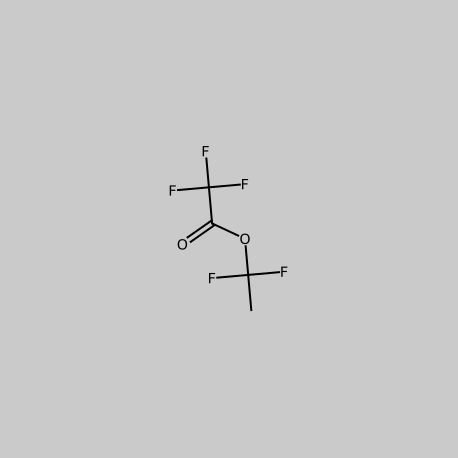 CC(F)(F)OC(=O)C(F)(F)F